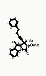 CCCCC1(C#CCCc2ccccc2)c2c(C)c3ccccc3n2C(=O)N1OC